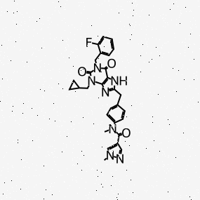 CN(C(=O)c1cnn(C)c1)c1ccc(Cc2nc3c([nH]2)c(=O)n(Cc2ccccc2F)c(=O)n3CC2CC2)cc1